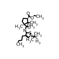 CCCCc1cn(C(C)(C)C)s/c1=N\C(=O)[C@@]1(C)CC[C@@H](C(=O)OCC)C1(C)C